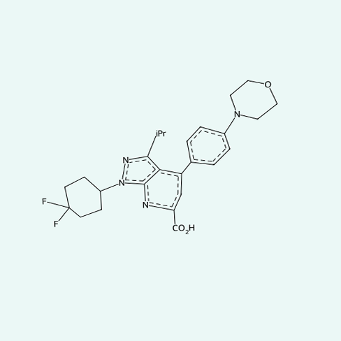 CC(C)c1nn(C2CCC(F)(F)CC2)c2nc(C(=O)O)cc(-c3ccc(N4CCOCC4)cc3)c12